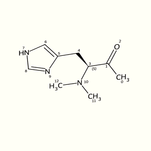 CC(=O)[C@H](Cc1c[nH]cn1)N(C)C